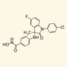 CC1(Nc2ccc(C(=O)NO)cc2)C(=O)N(c2ccc(Cl)cc2)c2ccc(F)cc21